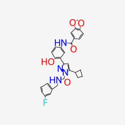 O=C(Nc1ccc(O)c(-c2cc(C3CCC3)n(C(=O)NCc3cccc(F)c3)n2)c1)c1ccc2c(c1)OCO2